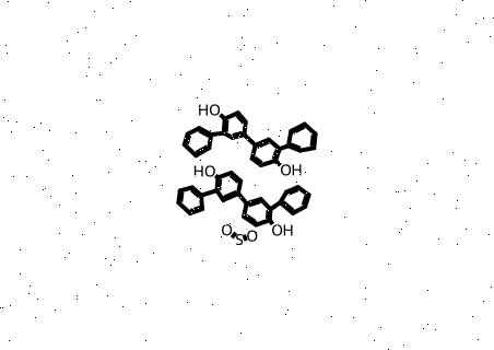 O=S=O.Oc1ccc(-c2ccc(O)c(-c3ccccc3)c2)cc1-c1ccccc1.Oc1ccc(-c2ccc(O)c(-c3ccccc3)c2)cc1-c1ccccc1